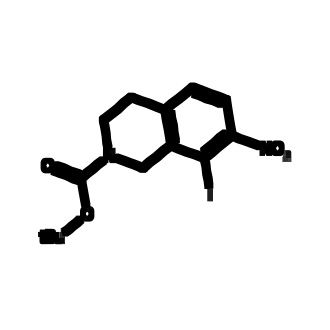 CC(C)(C)OC(=O)N1CCc2ccc([N+](=O)[O-])c(I)c2C1